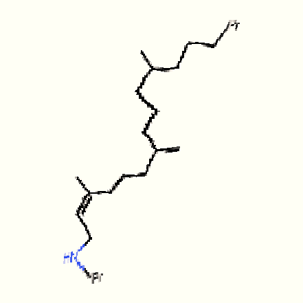 CC(=CCNC(C)C)CCCC(C)CCCC(C)CCCC(C)C